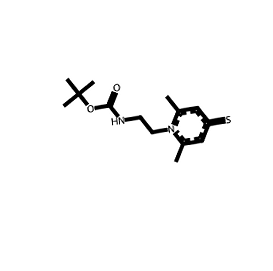 Cc1cc(=S)cc(C)n1CCNC(=O)OC(C)(C)C